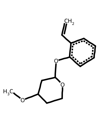 C=Cc1ccccc1OC1CC(OC)CCO1